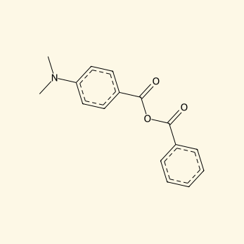 CN(C)c1ccc(C(=O)OC(=O)c2ccccc2)cc1